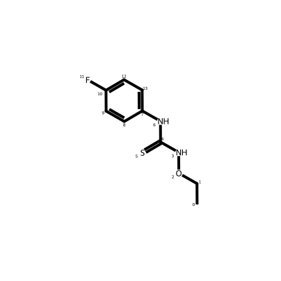 CCONC(=S)Nc1ccc(F)cc1